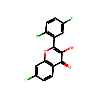 O=c1c(O)c(-c2cc(F)ccc2F)oc2cc(Cl)ccc12